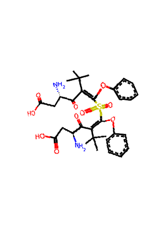 CC(C)(C)C(C(=O)[C@@H](N)CC(=O)O)=C(Oc1ccccc1)S(=O)(=O)C(Oc1ccccc1)=C(C(=O)[C@@H](N)CC(=O)O)C(C)(C)C